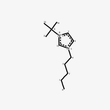 CCCCCn1cc[n+](C(C)(C)C)c1